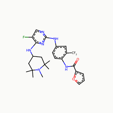 CN1C(C)(C)CC(Nc2nc(Nc3ccc(NC(=O)c4ccco4)c(C(F)(F)F)c3)ncc2F)CC1(C)C